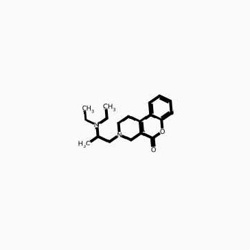 CCN(CC)C(C)CN1CCc2c(c(=O)oc3ccccc23)C1